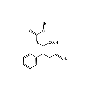 C=CCC(c1ccccc1)C(NC(=O)OC(C)(C)C)C(=O)O